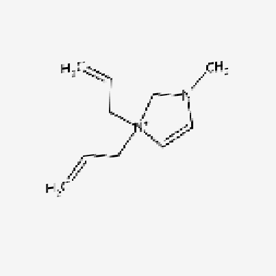 C=CC[N+]1(CC=C)C=CN(C)C1